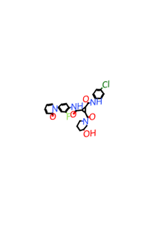 O=C(Nc1ccc(Cl)cc1)C1C(C(=O)Nc2ccc(-n3ccccc3=O)cc2F)C1C(=O)N1CCCC(O)C1